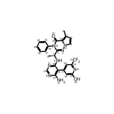 Cc1ccn2nc([C@H](C)Nc3ncnc(N)c3-c3cc(O)nc(C(F)(F)F)c3)n(-c3ccccc3)c(=O)c12